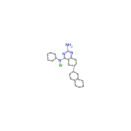 Nc1nc(N(Br)c2ccccc2)c2cc(-c3ccc4ccccc4c3)ccc2n1